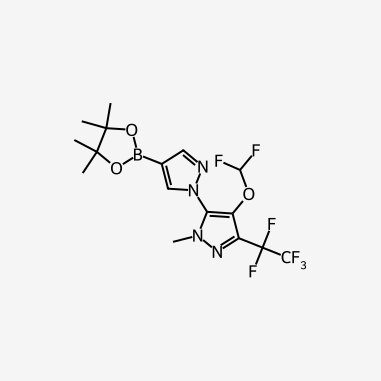 Cn1nc(C(F)(F)C(F)(F)F)c(OC(F)F)c1-n1cc(B2OC(C)(C)C(C)(C)O2)cn1